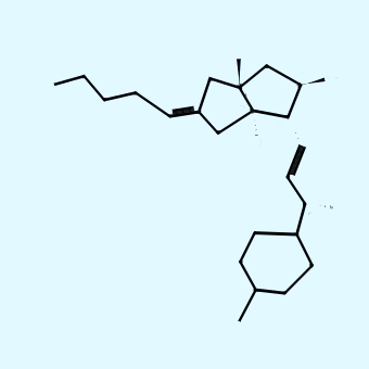 CC1CCC([C@@H](O)C=C[C@@H]2[C@H]3CC(=CCCCC(=O)O)C[C@@H]3C[C@H]2O)CC1